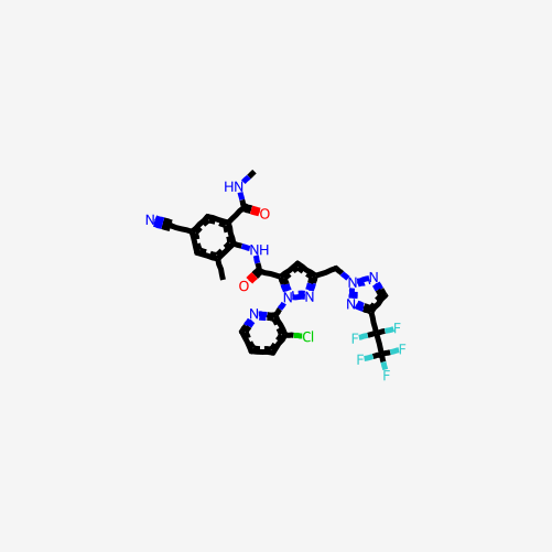 CNC(=O)c1cc(C#N)cc(C)c1NC(=O)c1cc(Cn2ncc(C(F)(F)C(F)(F)F)n2)nn1-c1ncccc1Cl